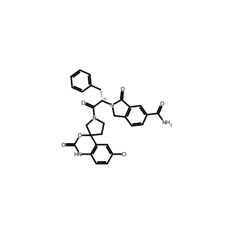 NC(=O)c1ccc2c(c1)C(=O)N([C@@H](Cc1ccccc1)C(=O)N1CCC3(C1)OC(=O)Nc1ccc(Cl)cc13)C2